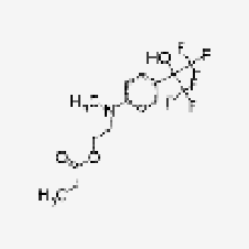 CCC(=O)OCCN(C)c1ccc(C(O)(C(F)(F)F)C(F)(F)F)cc1